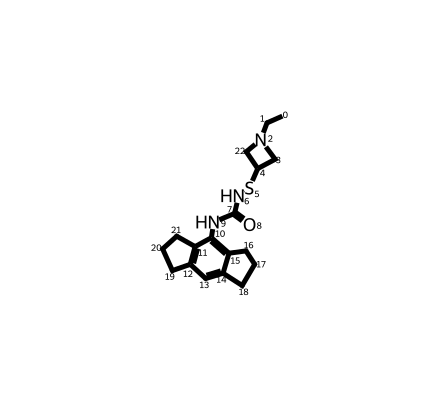 CCN1CC(SNC(=O)Nc2c3c(cc4c2CCC4)CCC3)C1